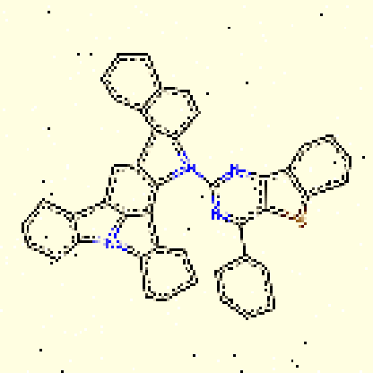 c1ccc(-c2nc(-n3c4ccc5ccccc5c4c4cc5c6ccccc6n6c7ccccc7c(c43)c56)nc3c2sc2ccccc23)cc1